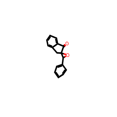 O=C1c2ccccc2CC12OC2c1ccccc1